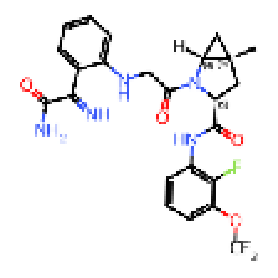 C[C@@]12C[C@@H](C(=O)Nc3cccc(OC(F)(F)F)c3F)N(C(=O)CNc3ccccc3C(=N)C(N)=O)[C@@H]1C2